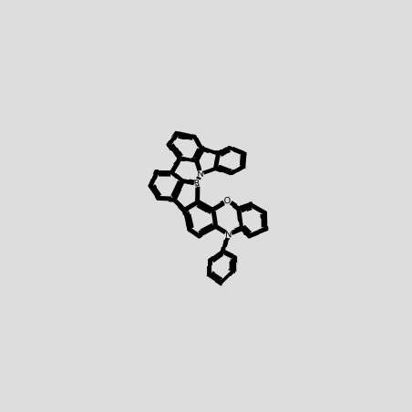 c1ccc(N2c3ccccc3Oc3c2ccc2c3B3c4c-2cccc4-c2cccc4c5ccccc5n3c24)cc1